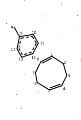 C1=CCCC=CCC1.Cc1ccccc1